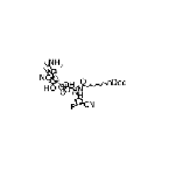 CCCCCCCCCCCCCCCCCC(=O)NC[C@H](COP(=O)(O)OC[C@H]1O[C@@](C#N)(c2ccc3c(N)ncnn23)C[C@@H]1O)OCc1cc(F)cc(C#N)c1